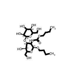 CCCCOC(=O)NC1[C@@H](OCCCC)OC(CO)[C@@H](O)[C@@H]1O[C@@H]1OC(CO)[C@H](O)C(O)[C@@H]1O